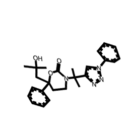 CC(C)(O)CC1(c2ccccc2)CCN(C(C)(C)c2cn(-c3ccccc3)nn2)C(=O)O1